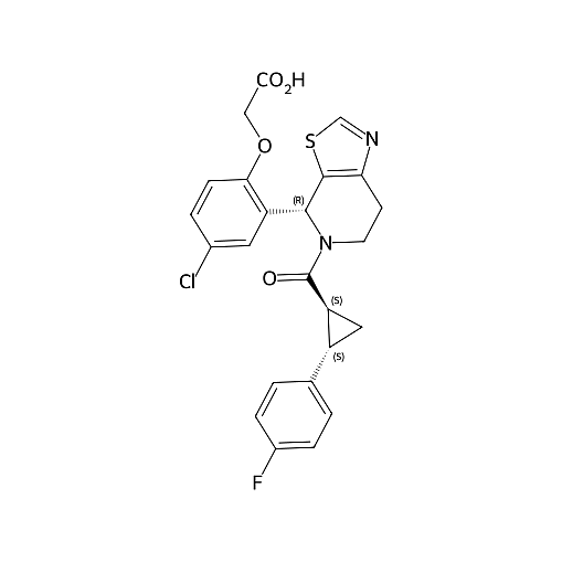 O=C(O)COc1ccc(Cl)cc1[C@@H]1c2scnc2CCN1C(=O)[C@H]1C[C@@H]1c1ccc(F)cc1